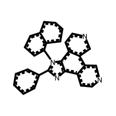 c1ccc(-c2nc3c4ccncc4c4cnccc4c3n2-c2cccc3ccccc23)cc1